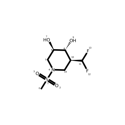 CS(=O)(=O)N1C[C@@H](O)[C@H](O)[C@@H](C(F)F)C1